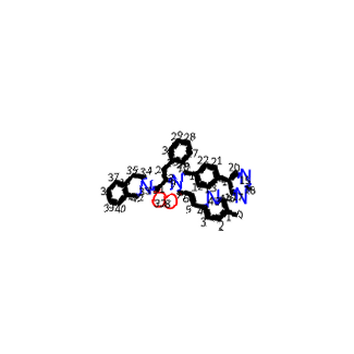 Cc1ccc(C=CC(=O)N(Cc2ccc(-c3cncnc3)cc2)C(Cc2ccccc2)C(=O)N2CCc3ccccc3C2)nc1